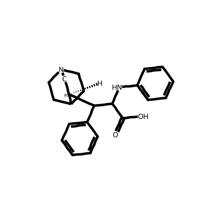 O=C(O)C(Nc1ccccc1)C(c1ccccc1)[C@@H]1CN2CCC1CC2